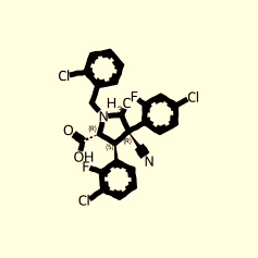 CC1N(Cc2ccccc2Cl)[C@@H](C(=O)O)[C@H](c2cccc(Cl)c2F)[C@@]1(C#N)c1ccc(Cl)cc1F